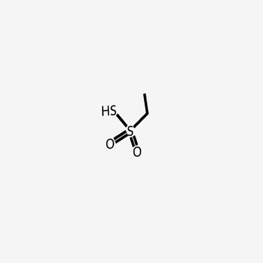 CCS(=O)(=O)S